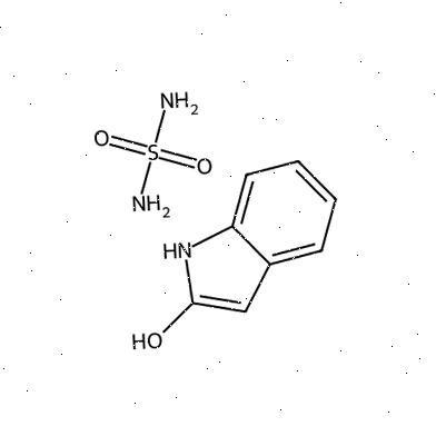 NS(N)(=O)=O.Oc1cc2ccccc2[nH]1